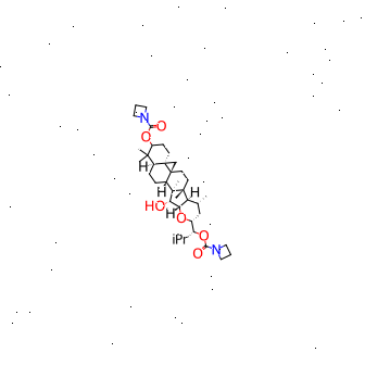 CC(C)[C@@H](OC(=O)N1CCC1)[C@H]1C[C@@H](C)[C@H]2[C@H](O1)[C@H](O)[C@@]1(C)[C@@H]3CC[C@H]4C(C)(C)C(OC(=O)N5CCC5)CC[C@@]45C[C@@]35CC[C@]21C